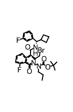 CCCN(C(=O)OC(C)(C)C)n1c(CBr)c(C(=O)N[C@H](c2cccc(F)c2)C2CCC2)c2cccc(F)c2c1=O